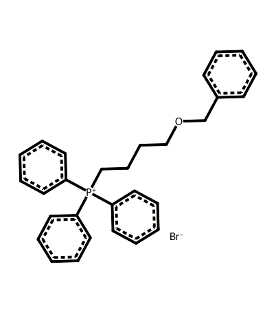 [Br-].c1ccc(COCCCC[P+](c2ccccc2)(c2ccccc2)c2ccccc2)cc1